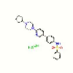 Cl.Cl.O=S(=O)(Nc1ccc(-c2ccc(N3CCN(C4CCCC4)CC3)nc2)cc1)c1ccccc1